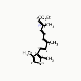 CCOC(=O)/C=C(\C)C=CC=C(C)C=Cc1c(C)csc1C